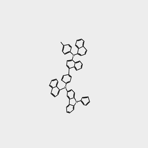 Cc1ccc(N(c2cccc3ccccc23)c2ccc(-c3ccc(N(c4ccc5c(c4)c4ccccc4n5-c4ccccc4)c4cccc5ccccc45)cc3)c3ccccc23)cc1